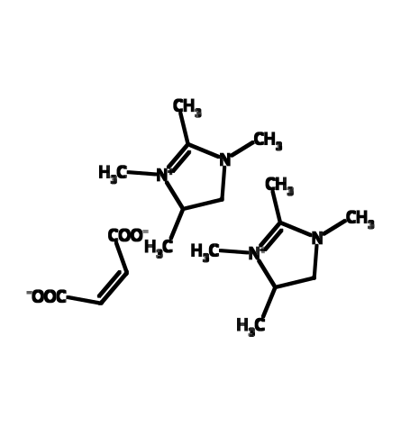 CC1=[N+](C)C(C)CN1C.CC1=[N+](C)C(C)CN1C.O=C([O-])/C=C\C(=O)[O-]